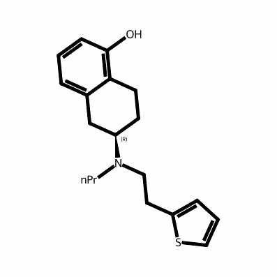 CCCN(CCc1cccs1)[C@@H]1CCc2c(O)cccc2C1